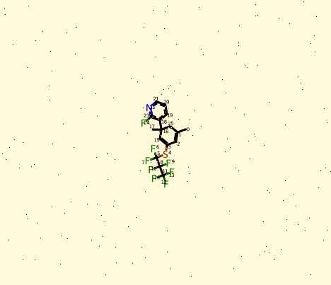 CC1=CC(SC(F)(F)C(F)(F)C(F)(F)F)=CC(C)(c2cccnc2F)[CH]1